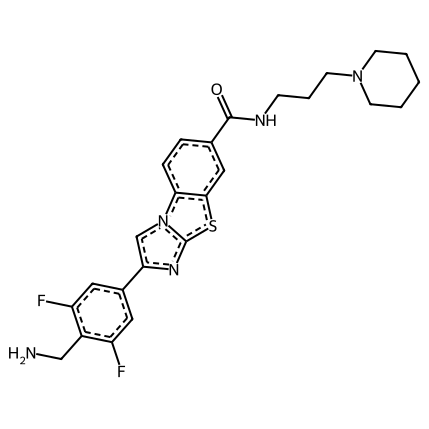 NCc1c(F)cc(-c2cn3c(n2)sc2cc(C(=O)NCCCN4CCCCC4)ccc23)cc1F